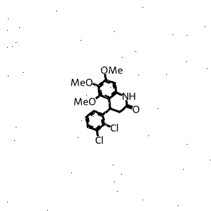 COc1cc2c(c(OC)c1OC)C(c1cccc(Cl)c1Cl)CC(=O)N2